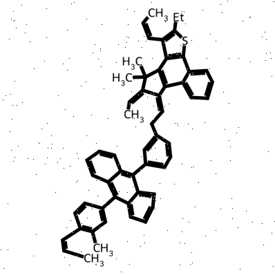 C/C=C\c1ccc(-c2c3ccccc3c(-c3cccc(C/C=C4\C(=C/C)C(C)(C)c5c4c4ccccc4c4sc(CC)c(/C=C\C)c54)c3)c3ccccc23)cc1C